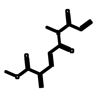 C=CC(=O)N(C)C(=O)C=CC(=C)C(=O)OC